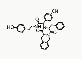 N#Cc1ccc(C(C(=O)NCCc2ccc(O)cc2)N2C(=O)C3Cc4ccccc4CN3C(=O)C2Cc2ccccc2)cc1